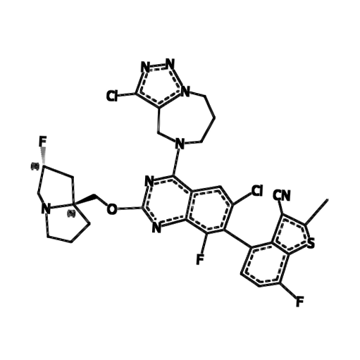 Cc1sc2c(F)ccc(-c3c(Cl)cc4c(N5CCCn6nnc(Cl)c6C5)nc(OC[C@@]56CCCN5C[C@H](F)C6)nc4c3F)c2c1C#N